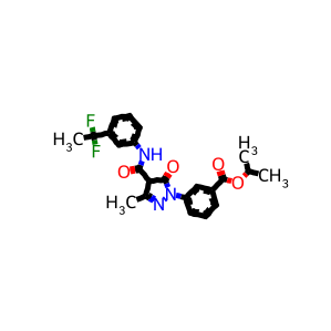 CC1=NN(c2cccc(C(=O)OC(C)C)c2)C(=O)C1C(=O)Nc1cccc(C(C)(F)F)c1